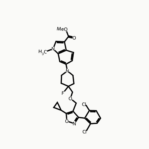 COC(=O)c1cn(C)c2cc(N3CCC(F)(COCc4c(-c5c(Cl)cccc5Cl)noc4C4CC4)CC3)ccc12